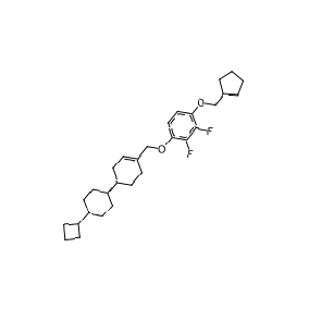 Fc1c(OCC2=CCC(C3CCC(C4CCC4)CC3)CC2)ccc(OCC2CCCC2)c1F